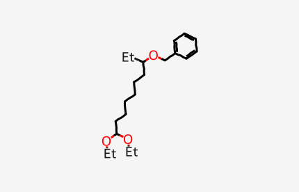 CCOC(CCCCCCC(CC)OCc1ccccc1)OCC